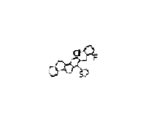 Fc1cccc(Cl)c1Cc1ccc2c3c(ccc2c1C1=CCCS1)C1=C(CCC=C1)CC3